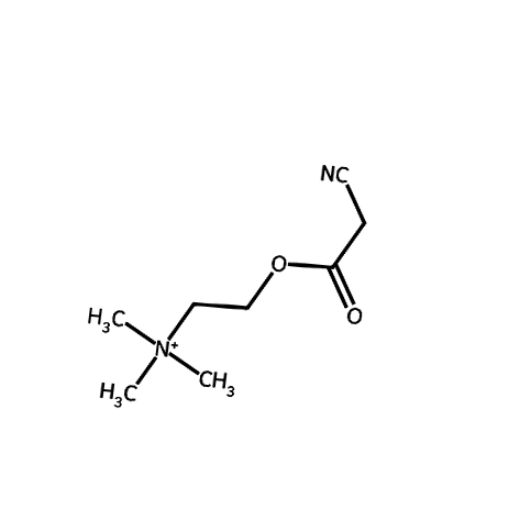 C[N+](C)(C)CCOC(=O)CC#N